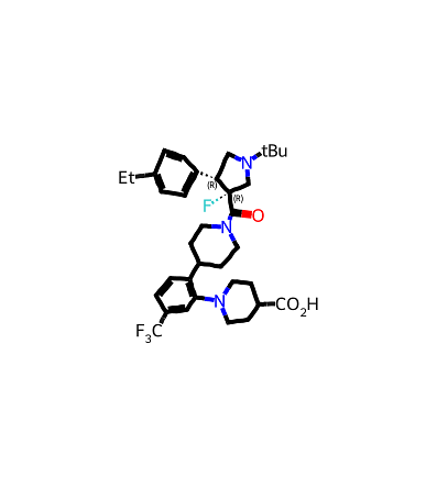 CCc1ccc([C@@H]2CN(C(C)(C)C)C[C@@]2(F)C(=O)N2CCC(c3ccc(C(F)(F)F)cc3N3CCC(C(=O)O)CC3)CC2)cc1